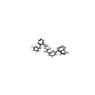 O=C(CNc1ccccc1Oc1ccccc1)N[C@@H]1CCCN(c2ncnc3[nH]ncc23)C1